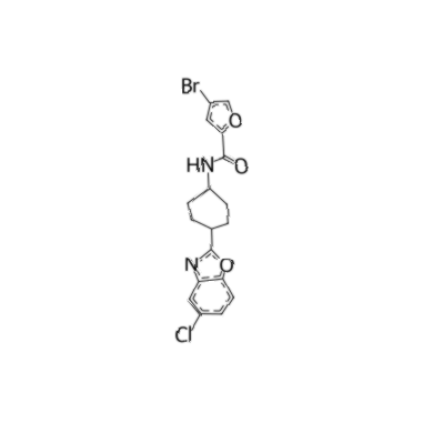 O=C(NC1CCC(c2nc3cc(Cl)ccc3o2)CC1)c1cc(Br)co1